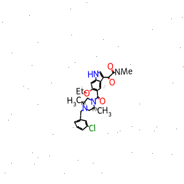 CCOc1cc2[nH]cc(C(=O)C(=O)NC)c2cc1C(=O)N1C[C@H](C)N(Cc2cccc(Cl)c2)C[C@H]1C